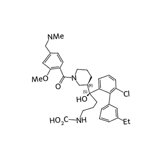 CCc1cccc(-c2c(Cl)cccc2[C@](O)(CCCNC(=O)O)[C@@H]2CCCN(C(=O)c3ccc(CNC)cc3OC)C2)c1